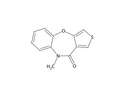 CN1C(=O)c2cscc2Oc2ccccc21